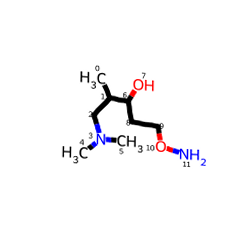 CC(CN(C)C)C(O)CCON